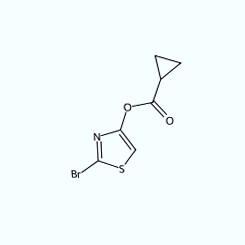 O=C(Oc1csc(Br)n1)C1CC1